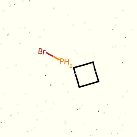 C1CCC1.PBr